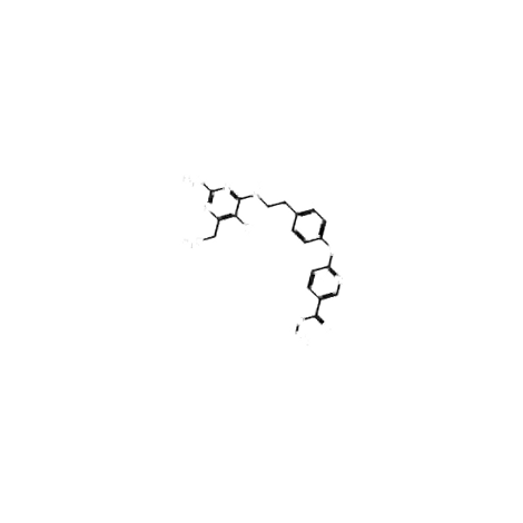 CCc1nc(C)nc(NCCc2ccc(Oc3ccc(C(=O)OC)cn3)cc2)c1Cl